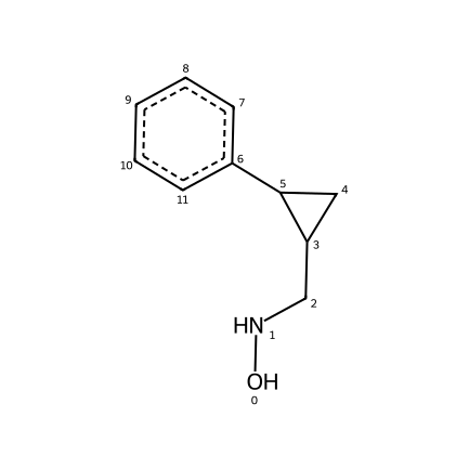 ONCC1CC1c1ccccc1